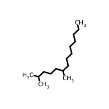 CCCCCCCCC(C)CCCC(C)C